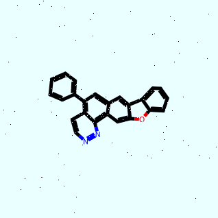 c1ccc(-c2cc3cc4c(cc3c3nnccc23)oc2ccccc24)cc1